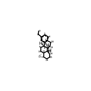 CCc1[c]cc2c(c1)[C@H]1CC[C@]3(C)CCCC[C@H]3[C@@H]1CC2